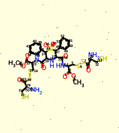 COC(=O)C(CSSC(=O)[C@@H](N)CS)NC(=O)C1NC(C(=O)NC(CSSC(=O)[C@@H](N)CS)C(=O)OC)C(c2ccccc2)S(=O)(=O)C1c1ccccc1